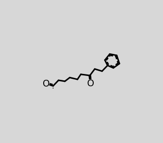 O=[C]CCCCCC(=O)CCc1ccccc1